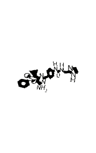 Nc1cc(C2(S(=O)(=O)c3ccccc3)CC2)nc(-c2ccc(NC(=O)NCc3ncc[nH]3)cc2)n1